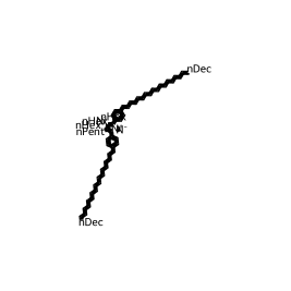 CCCCCCCCCCCCCCCCCCCCCCCCCCCCc1ccc(C2=C(CCCCC)C(CCCCCC)=C(c3ccc(CCCCCCCCCCCCCCCCCCCCCCCCCCCC)cc3)[N+]2=[N-])cc1.CCCCC[CH2][Ni][CH2]CCCCC